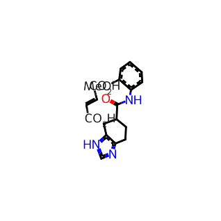 COc1ccccc1NC(=O)C1CCc2nc[nH]c2C1.O=C(O)C=CC(=O)O